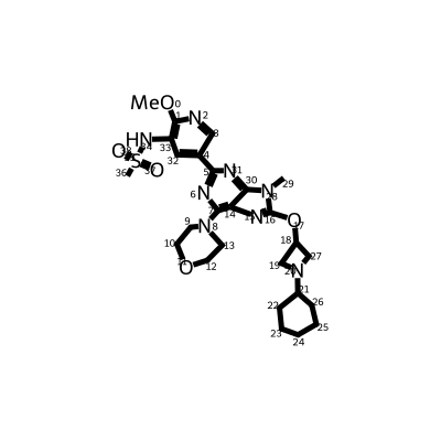 COc1ncc(-c2nc(N3CCOCC3)c3nc(OC4CN(C5CCCCC5)C4)n(C)c3n2)cc1NS(C)(=O)=O